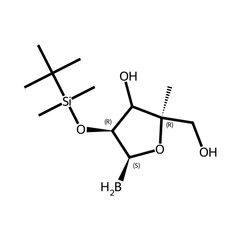 B[C@@H]1O[C@](C)(CO)C(O)[C@@H]1O[Si](C)(C)C(C)(C)C